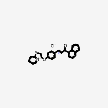 O=C(/C=C/c1ccc(OC2CSc3cccc[n+]32)cc1)c1cccc2ccccc12.[Cl-]